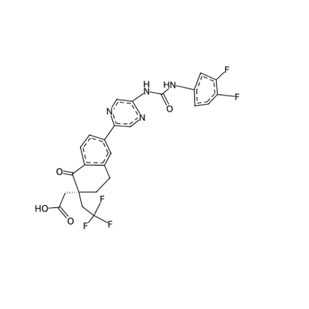 O=C(O)C[C@@]1(CC(F)(F)F)CCc2cc(-c3cnc(NC(=O)Nc4ccc(F)c(F)c4)cn3)ccc2C1=O